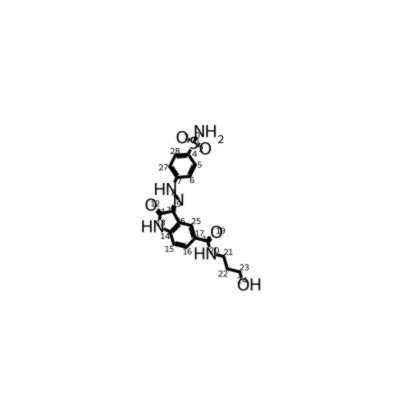 NS(=O)(=O)c1ccc(NN=C2C(=O)Nc3ccc(C(=O)NCCCO)cc32)cc1